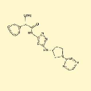 COC(C(=O)Nc1nnc(N[C@@H]2CCN(c3nccnn3)C2)s1)c1ccccc1